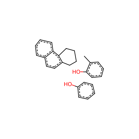 Cc1ccccc1O.Oc1ccccc1.c1ccc2c3c(ccc2c1)CCCC3